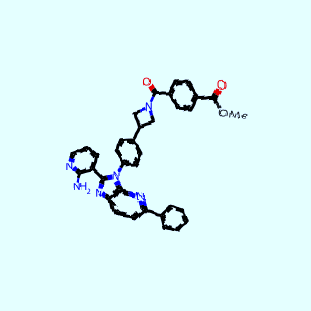 COC(=O)c1ccc(C(=O)N2CC(c3ccc(-n4c(-c5cccnc5N)nc5ccc(-c6ccccc6)nc54)cc3)C2)cc1